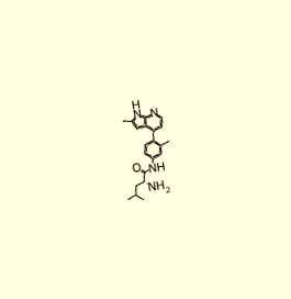 Cc1cc2c(-c3ccc(NC(=O)[C@H](N)CC(C)C)cc3C)ccnc2[nH]1